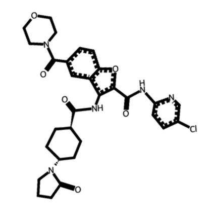 O=C(Nc1ccc(Cl)cn1)c1oc2ccc(C(=O)N3CCOCC3)cc2c1NC(=O)[C@H]1CC[C@H](N2CCCC2=O)CC1